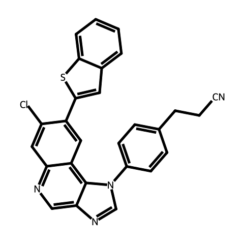 N#CCCc1ccc(-n2cnc3cnc4cc(Cl)c(-c5cc6ccccc6s5)cc4c32)cc1